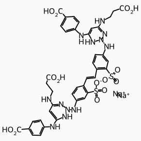 O=C(O)CCNC1=NN(Nc2ccc(C=Cc3ccc(NN4N=C(NCCC(=O)O)C=C(Nc5ccc(C(=O)O)cc5)N4)cc3S(=O)(=O)[O-])c(S(=O)(=O)[O-])c2)NC(Nc2ccc(C(=O)O)cc2)=C1.[Na+].[Na+]